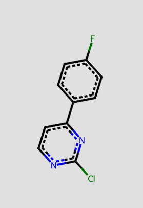 Fc1ccc(-c2ccnc(Cl)n2)cc1